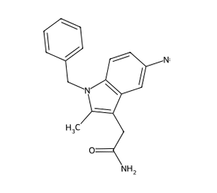 Cc1c(CC(N)=O)c2cc([N])ccc2n1Cc1ccccc1